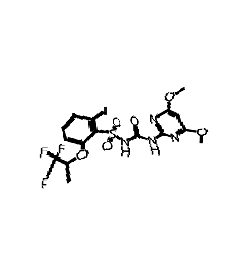 COc1cc(OC)nc(NC(=O)NS(=O)(=O)c2c(I)cccc2OC(C)C(F)(F)F)n1